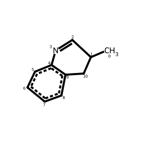 CC1C=Nc2ccccc2C1